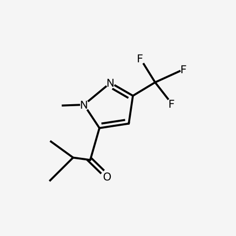 CC(C)C(=O)c1cc(C(F)(F)F)nn1C